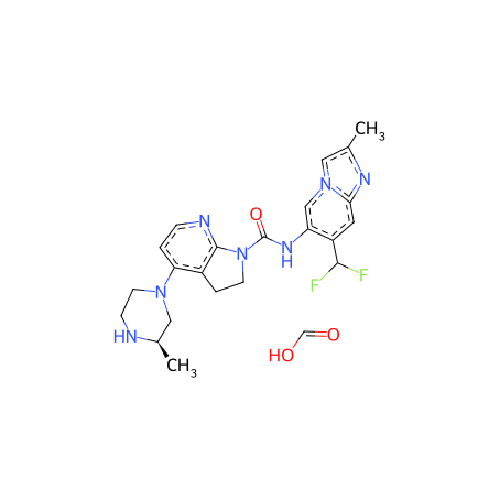 Cc1cn2cc(NC(=O)N3CCc4c(N5CCN[C@H](C)C5)ccnc43)c(C(F)F)cc2n1.O=CO